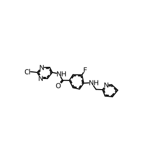 O=C(Nc1cnc(Cl)nc1)c1ccc(NCc2ccccn2)c(F)c1